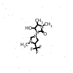 CC1C(O)N(N2CC(C(F)(F)F)N(C)C2)C(=O)N1C